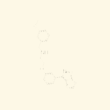 COc1cccc(CNCCOc2cccc(-c3noc4ccsc34)c2)c1